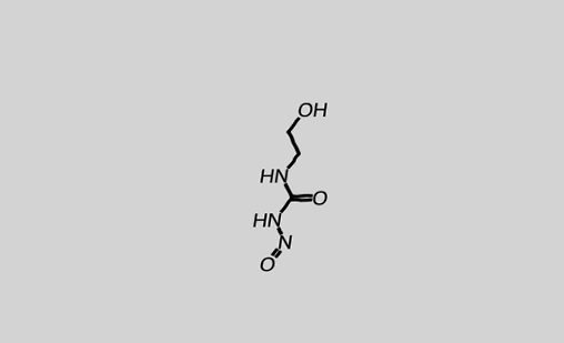 O=NNC(=O)NCCO